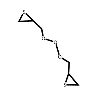 C(OOOCC1CS1)C1CS1